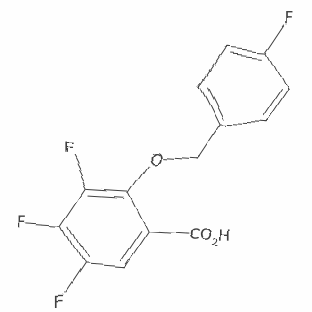 O=C(O)c1cc(F)c(F)c(F)c1OCc1ccc(F)cc1